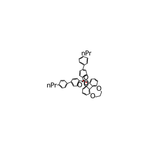 CCCc1ccc(-c2ccc(C(=O)Oc3cccc4c3-c3c(cccc3OC(=O)c3ccc(-c5ccc(CCC)cc5)cc3)OCCCO4)cc2)cc1